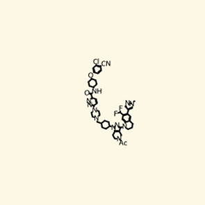 CC(=O)N1CCc2c(c(N3CCCc4cc(-c5cnn(C)c5)c(C(F)F)cc43)nn2C2CCC(CN3CCN(c4ccc(C(=O)NC5CCC(Oc6ccc(C#N)c(Cl)c6)CC5)nn4)CC3)CC2)C1